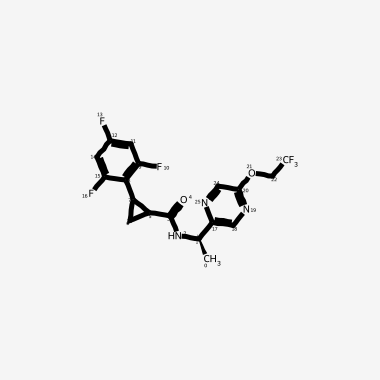 C[C@@H](NC(=O)C1CC1c1c(F)cc(F)cc1F)c1cnc(OCC(F)(F)F)cn1